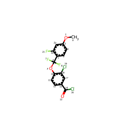 COc1ccc(C(F)(F)Oc2ccc(C(=O)Cl)cc2Cl)c(F)c1